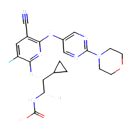 C[C@H](NC(=O)O)[C@H](Nc1nc(Nc2cnc(N3CCOCC3)nc2)c(C#N)cc1F)C1CC1